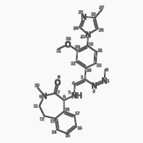 C/N=N\C(=C/NC1C(=O)N(C)CCc2ccccc21)c1ccc(-n2cnc(C)c2)c(OC)c1